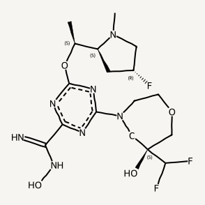 C[C@H](Oc1nc(C(=N)NO)nc(N2CCOC[C@](O)(C(F)F)C2)n1)[C@@H]1C[C@@H](F)CN1C